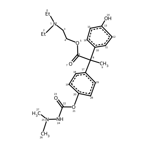 CCN(CC)CCOC(=O)C(C)(c1ccc(O)cc1)c1ccc(OC(=O)NN(C)C)cc1